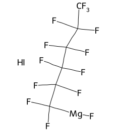 I.[F][Mg][C](F)(F)C(F)(F)C(F)(F)C(F)(F)C(F)(F)C(F)(F)F